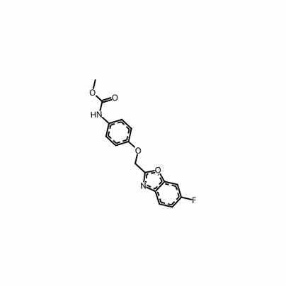 COC(=O)Nc1ccc(OCc2nc3ccc(F)cc3o2)cc1